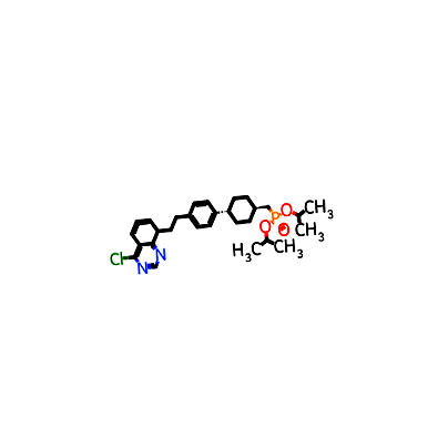 CC(C)OP(=O)(C[C@H]1CC[C@H](c2ccc(CCC3C=C=Cc4c(Cl)ncnc43)cc2)CC1)OC(C)C